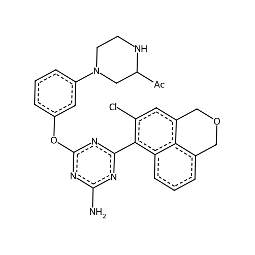 CC(=O)C1CN(c2cccc(Oc3nc(N)nc(-c4c(Cl)cc5c6c(cccc46)COC5)n3)c2)CCN1